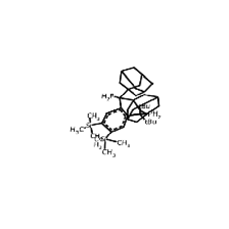 CC(C)(C)C(P)(c1cc([Si](C)(C)C)c([Si](C)(C)C)cc1C(P)(C12CC3CC(CC(C3)C1)C2)C12CC3CC(CC(C3)C1)C2)C(C)(C)C